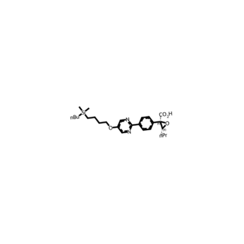 CCCC[Si](C)(C)CCCCOc1cnc(-c2ccc([C@@]3(C(=O)O)O[C@@H]3CCC)cc2)nc1